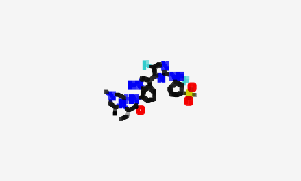 CC[C@@H](C(=O)Nc1cccc2c(-c3nc(Nc4cccc(S(C)(=O)=O)c4F)ncc3F)c[nH]c12)N1CCN(C)C[C@@H]1C